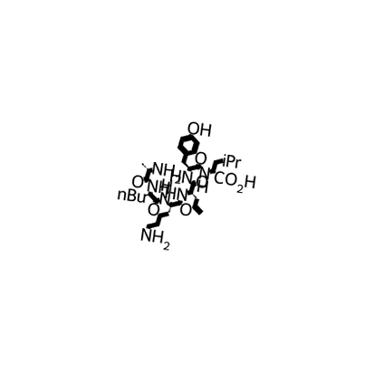 C=CC[C@H](NC(=O)[C@H](CCCCN)NC(=O)[C@H](CCCC)NC(=O)[C@H](C)N)C(=O)N[C@@H](Cc1ccc(O)cc1)C(=O)N[C@@H](CC(C)C)C(=O)O